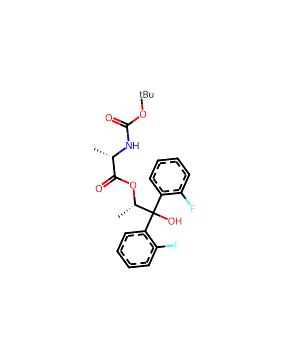 C[C@H](NC(=O)OC(C)(C)C)C(=O)O[C@@H](C)C(O)(c1ccccc1F)c1ccccc1F